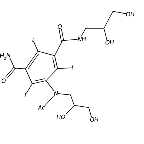 CC(=O)N(CC(O)CO)c1c(I)c(C(N)=O)c(I)c(C(=O)NCC(O)CO)c1I